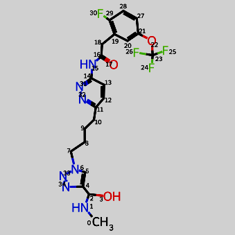 CNC(O)c1cn(CCCCc2ccc(NC(=O)Cc3cc(OC(F)(F)F)ccc3F)nn2)nn1